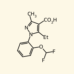 CCc1c(C(=O)O)c(C)nn1-c1ccccc1OC(F)F